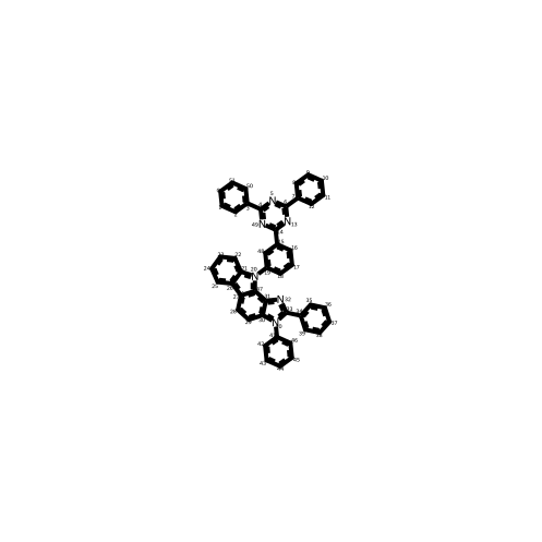 c1ccc(-c2nc(-c3ccccc3)nc(-c3cccc(-n4c5ccccc5c5ccc6c(nc(-c7ccccc7)n6-c6ccccc6)c54)c3)n2)cc1